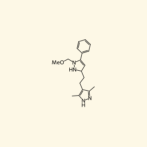 COCN1NC(CCc2c(C)n[nH]c2C)C=C1c1ccccc1